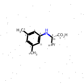 Cc1cc(C)cc(N[C@H](C(=O)O)C(C)C)c1